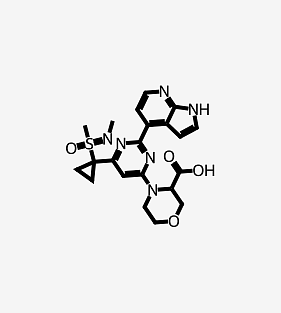 CN=S(C)(=O)C1(c2cc(N3CCOCC3C(=O)O)nc(-c3ccnc4[nH]ccc34)n2)CC1